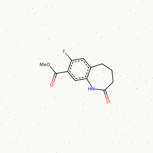 COC(=O)c1cc2c(cc1F)CCCC(=O)N2